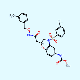 CC(C)(C)OC(=O)Nc1ccc2c(c1)N(S(=O)(=O)c1cccc(C(F)(F)F)c1)C[C@H](CC(=O)NOCc1cccc(C(F)(F)F)c1)O2